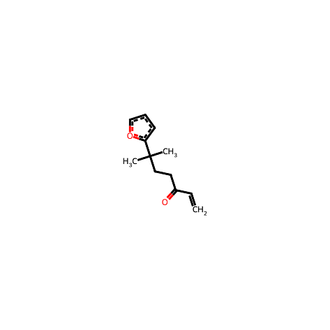 C=CC(=O)CCC(C)(C)c1ccco1